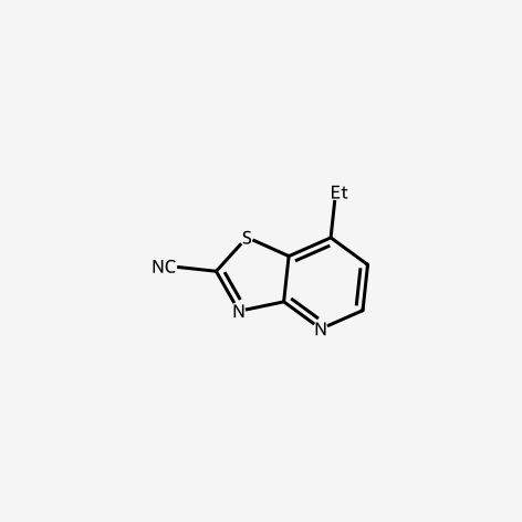 CCc1ccnc2nc(C#N)sc12